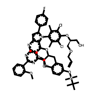 C=CCOC[C@H](CO)Oc1c(Cl)c(C)c(-n2c(-c3ccc(F)cc3)cc3ncnc(OC(Cc4cc(O[Si](C)(C)C(C)(C)C)ccc4OCc4ccnc(-c5ccccc5OC)n4)C(=O)O)c32)c(C)c1Cl